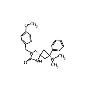 COc1ccc(CN2C[C@]3(C[C@@](c4ccccc4)(N(C)C)C3)NC2=O)cc1